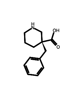 O=C(O)[C@]1(Cc2ccccc2)CCCNC1